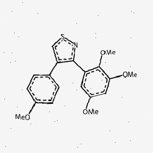 COc1ccc(-c2csnc2-c2cc(OC)cc(OC)c2OC)cc1